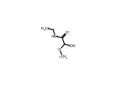 CCNC(=O)C(O)OC